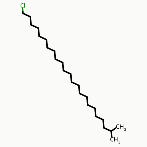 CC(C)CCCCCCCCCCCCCCCCCCCCCCl